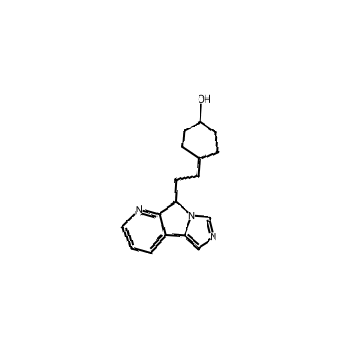 OC1CCC(CCC2c3ncccc3-c3cncn32)CC1